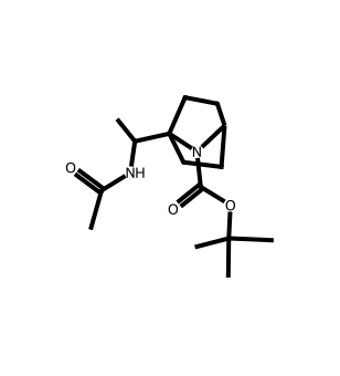 CC(=O)NC(C)C12CCC(CC1)N2C(=O)OC(C)(C)C